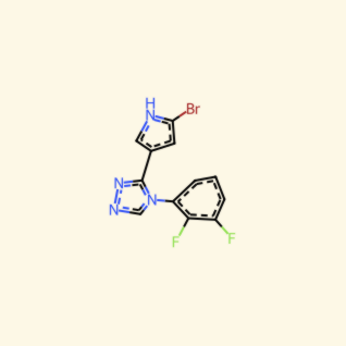 Fc1cccc(-n2cnnc2-c2c[nH]c(Br)c2)c1F